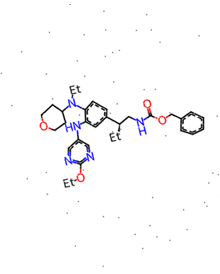 CCOc1ncc(Nc2cc([C@H](CC)CNC(=O)OCc3ccccc3)ccc2N(CC)C2CCOCC2)cn1